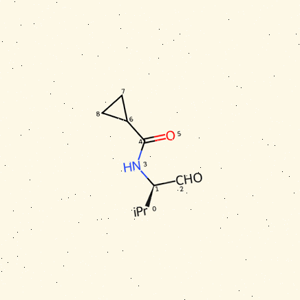 CC(C)[C@H](C=O)NC(=O)C1CC1